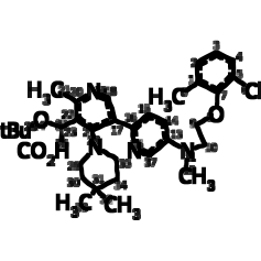 Cc1cccc(Cl)c1OCCN(C)c1ccc(-c2cnc(C)c([C@H](OC(C)(C)C)C(=O)O)c2N2CCC(C)(C)CC2)nc1